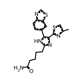 Cc1csc(-c2nc(CCCCC(N)=O)[nH]c2-c2ccc3ncsc3c2)n1